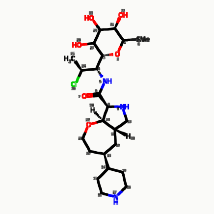 CSC1O[C@H]([C@H](NC(=O)[C@H]2NC[C@@H]3C[C@@H](C4CCNCC4)CCO[C@H]32)[C@H](C)Cl)C(O)C(O)[C@H]1O